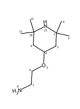 CC1(C)CC(OCCN)CC(C)(C)N1